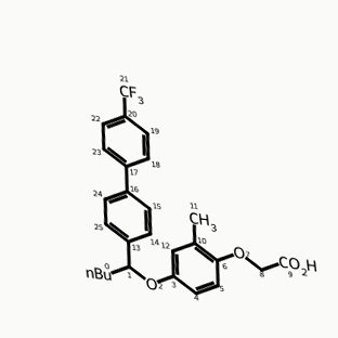 CCCCC(Oc1ccc(OCC(=O)O)c(C)c1)c1ccc(-c2ccc(C(F)(F)F)cc2)cc1